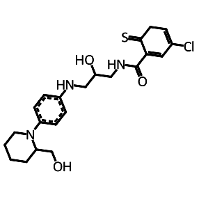 O=C(NCC(O)CNc1ccc(N2CCCCC2CO)cc1)C1=CC(Cl)=CCC1=S